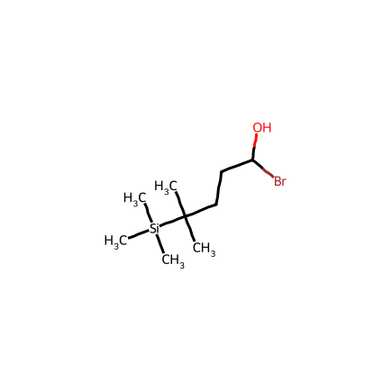 CC(C)(CCC(O)Br)[Si](C)(C)C